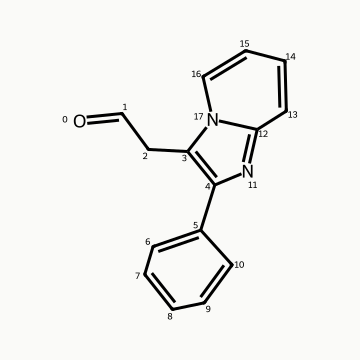 O=CCc1c(-c2ccccc2)nc2ccccn12